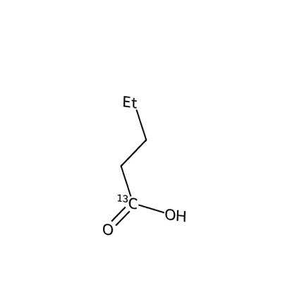 CCCC[13C](=O)O